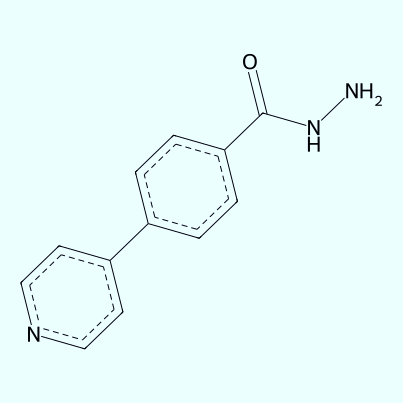 NNC(=O)c1ccc(-c2ccncc2)cc1